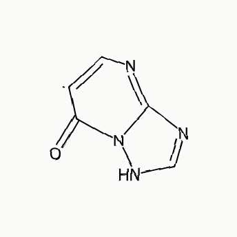 O=c1[c]cnc2nc[nH]n12